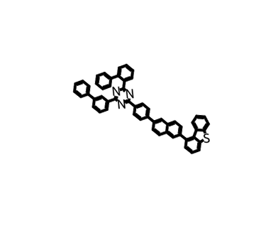 c1ccc(-c2cccc(-c3nc(-c4ccc(-c5ccc6cc(-c7cccc8sc9ccccc9c78)ccc6c5)cc4)nc(-c4ccccc4-c4ccccc4)n3)c2)cc1